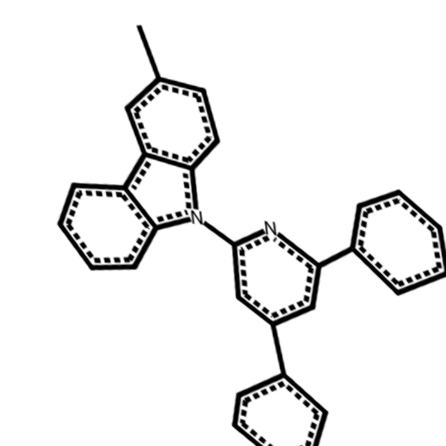 Cc1ccc2c(c1)c1ccccc1n2-c1cc(-c2ccccc2)cc(-c2ccccc2)n1